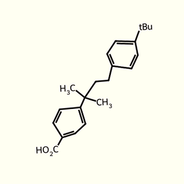 CC(C)(C)c1ccc(CCC(C)(C)c2ccc(C(=O)O)cc2)cc1